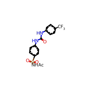 CC(=O)NS(=O)(=O)c1ccc(NC(=O)Nc2ccc(C(F)(F)F)cc2)cc1